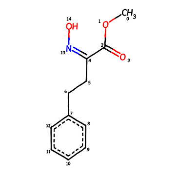 COC(=O)C(CCc1ccccc1)=NO